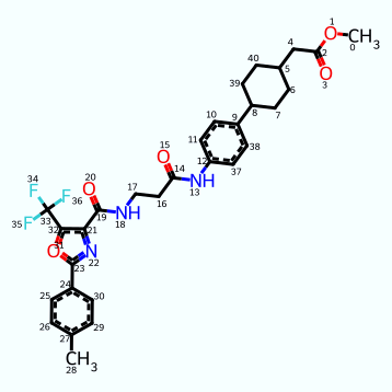 COC(=O)CC1CCC(c2ccc(NC(=O)CCNC(=O)c3nc(-c4ccc(C)cc4)oc3C(F)(F)F)cc2)CC1